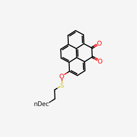 CCCCCCCCCCCCSOc1ccc2c(=O)c(=O)c3cccc4ccc1c2c43